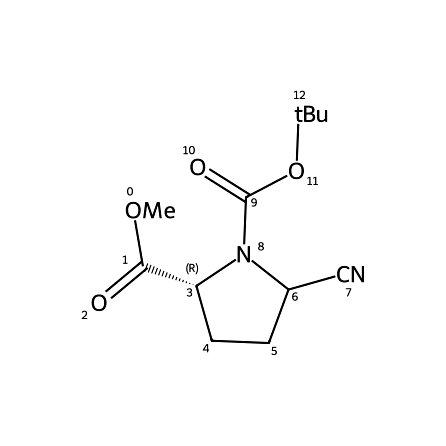 COC(=O)[C@H]1CCC(C#N)N1C(=O)OC(C)(C)C